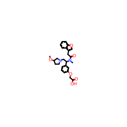 COC1CCN(CC(c2cccc(OCC(=O)O)c2)N(C)C(=O)Cc2coc3ccccc23)C1